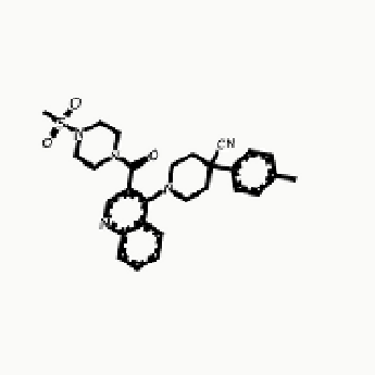 Cc1ccc(C2(C#N)CCN(c3c(C(=O)N4CCN(S(C)(=O)=O)CC4)cnc4ccccc34)CC2)cc1